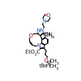 CCOC(=O)c1c(CCCO[Si](C)(C)C(C)(C)C)c2ccc(C)c3c2n1C/C=C\COCc1nn(CCN2CCOCC2)c(C)c1-3